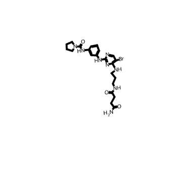 NC(=O)CCC(=O)NCCCNc1nc(Nc2cccc(NC(=O)N3CCCC3)c2)ncc1Br